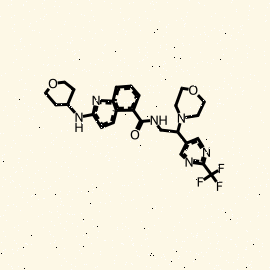 O=C(NCC(c1cnc(C(F)(F)F)nc1)N1CCOCC1)c1cccc2nc(NC3CCOCC3)ccc12